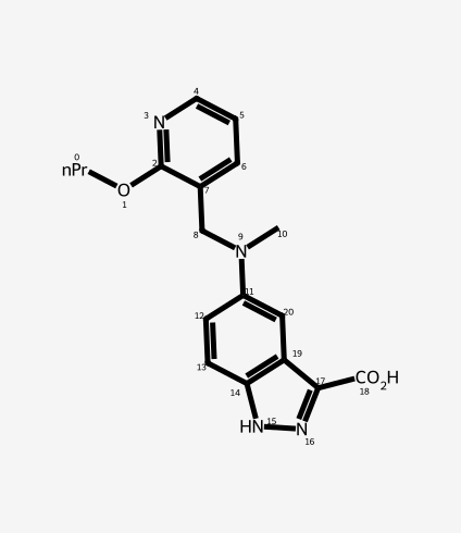 CCCOc1ncccc1CN(C)c1ccc2[nH]nc(C(=O)O)c2c1